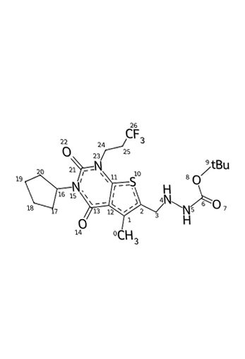 Cc1c(CNNC(=O)OC(C)(C)C)sc2c1c(=O)n(C1CCCC1)c(=O)n2CCC(F)(F)F